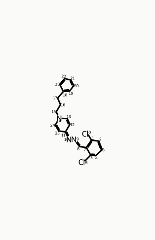 Clc1cccc(Cl)c1C=NN=c1ccn(CCCc2ccccc2)cc1